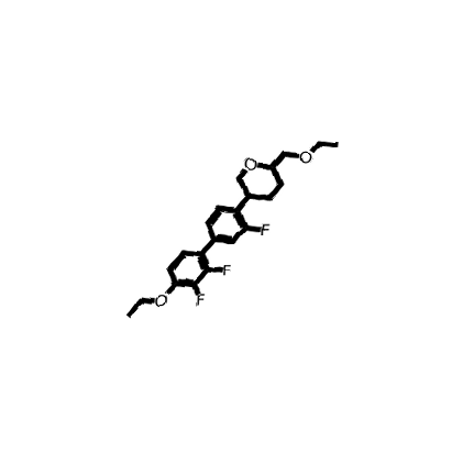 CCOCC1CCC(c2ccc(-c3ccc(OCC)c(F)c3F)cc2F)CO1